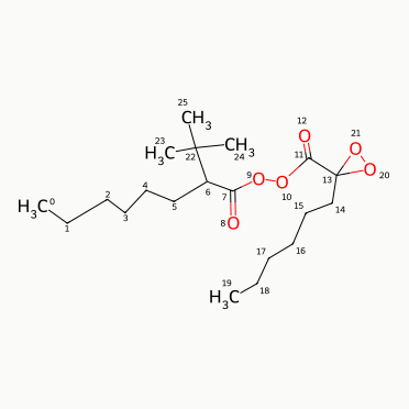 CCCCCCC(C(=O)OOC(=O)C1(CCCCCC)OO1)C(C)(C)C